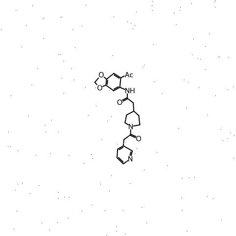 CC(=O)c1cc2c(cc1NC(=O)CC1CCN(C(=O)Cc3cccnc3)CC1)OCO2